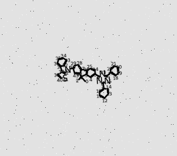 CC1(C)c2cc(-c3nc(-c4ccccc4)nc(-c4ccccc4)n3)ccc2-c2ccc(-n3c4ccccc4c4ccsc43)cc21